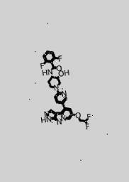 O=C(N[C@H]1CCN(c2ccc(-c3cc(OCC(F)F)cn4nc5[nH]ncc5c34)cn2)CC1O)c1c(F)cccc1F